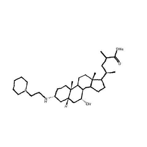 COC(=O)C(C)C[C@@H](C)C1CCC2C3C(CC[C@@]21C)[C@@]1(C)CC[C@@H](NCCN2CCCCC2)C[C@H]1C[C@H]3O